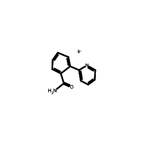 NC(=O)c1ccccc1-c1ccccn1.[Ir]